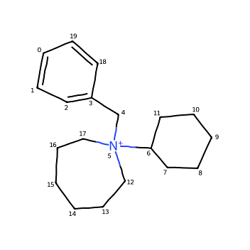 c1ccc(C[N+]2(C3CCCCC3)CCCCCC2)cc1